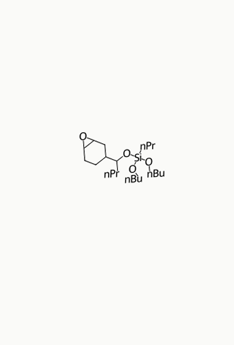 CCCCO[Si](CCC)(OCCCC)OC(CCC)C1CCC2OC2C1